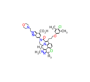 Cc1cc(OCCCc2c3n(c4c(-c5c(C)nn(C)c5C)c(Cl)ccc24)CCCN(c2cc(C(=O)O)c4cn(CCN5CCOCC5)nc4c2)C3=O)cc(C)c1Cl